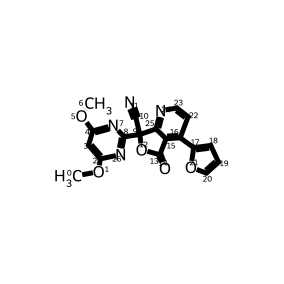 COc1cc(OC)nc(C2(C#N)OC(=O)c3c(-c4ccco4)ccnc32)n1